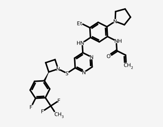 C=CC(=O)Nc1cc(Nc2cc(SN3CC[C@@H]3c3ccc(F)c(C(C)(F)F)c3)ncn2)c(CC)cc1N1CCCC1